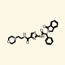 O=C(NCCN1CCOCC1)c1csc(NC(=O)[C@@H](c2ccccc2)N2Cc3ccccc3C2=O)n1